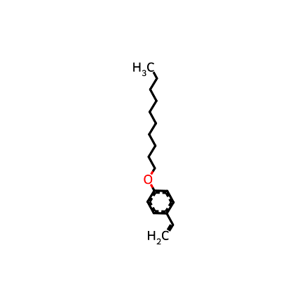 C=Cc1ccc(OCCCCCCCCCC)cc1